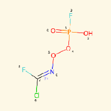 O=P(O)(F)OO/N=C(\F)Cl